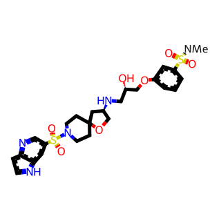 CNS(=O)(=O)c1cccc(OC[C@@H](O)CN[C@H]2COC3(CCN(S(=O)(=O)c4cnc5cc[nH]c5c4)CC3)C2)c1